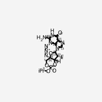 CC(C)OP1(=O)OC[C@@]2(N=[N+]=[N-])O[C@@H](n3cnc4c(=O)[nH]c(N)nc43)[C@H](F)[C@@H]2O1